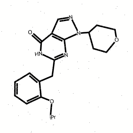 CC(C)Oc1ccccc1Cc1nc2c(cnn2C2CCOCC2)c(=O)[nH]1